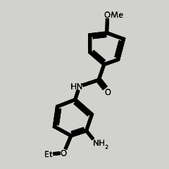 CCOc1ccc(NC(=O)c2ccc(OC)cc2)cc1N